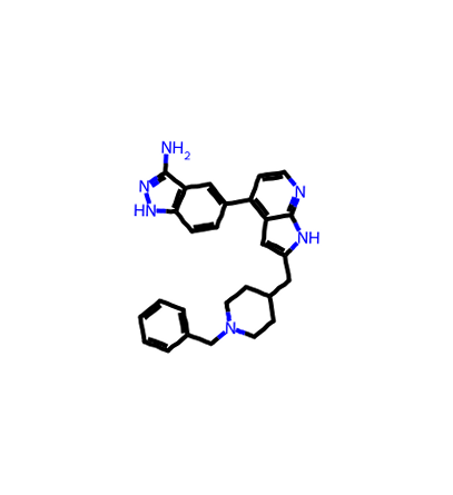 Nc1n[nH]c2ccc(-c3ccnc4[nH]c(CC5CCN(Cc6ccccc6)CC5)cc34)cc12